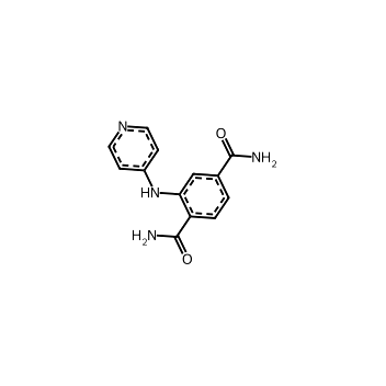 NC(=O)c1ccc(C(N)=O)c(Nc2ccncc2)c1